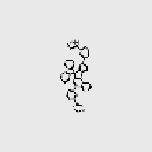 c1ccc(C2(c3ccccc3)c3cc(-c4cccc(-c5cscn5)c4)ccc3-c3c2cc(-c2cccc(-c4cscn4)c2)c2ccccc32)cc1